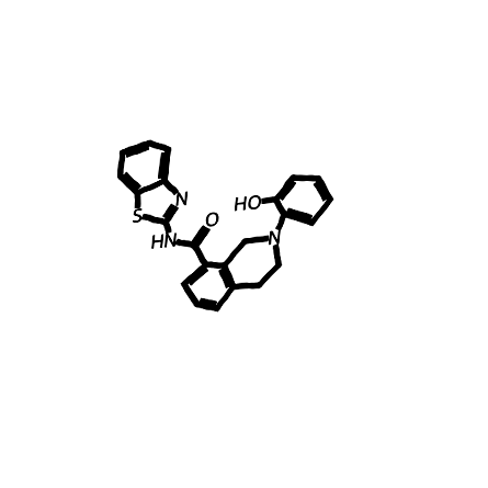 O=C(Nc1nc2ccccc2s1)c1cccc2c1CN(c1ccccc1O)CC2